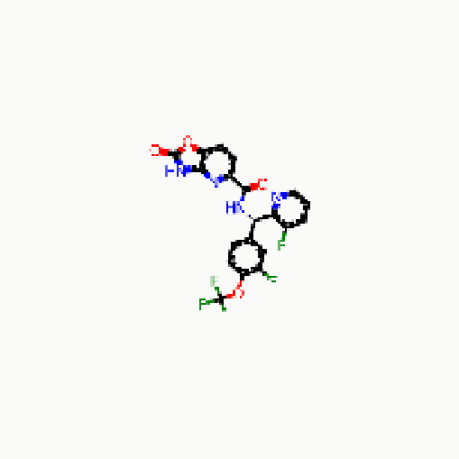 O=C(N[C@@H](c1ccc(OC(F)(F)F)c(F)c1)c1ncccc1F)c1ccc2oc(=O)[nH]c2n1